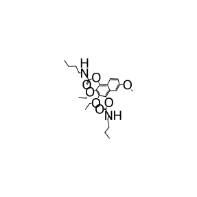 CCCCNC(=O)Oc1c(OCC)c(OCC)c(OC(=O)NCCCC)c2cc(OC)ccc12